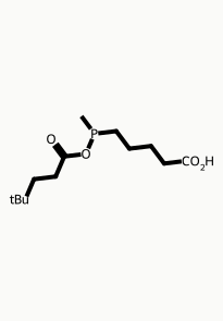 CP(CCCCC(=O)O)OC(=O)CCC(C)(C)C